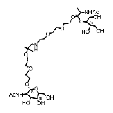 CC(=O)NC(C)[C@H](OCCOCCOCCNCC(C)(C)OCCOCCO[C@@H]1OC(CO)[C@H](O)C(O)C1NC(C)=O)OC(CO)[C@H](O)CO